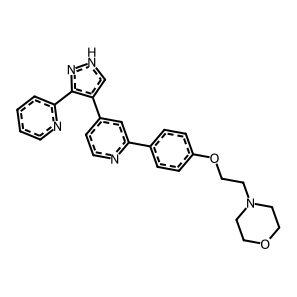 c1ccc(-c2n[nH]cc2-c2ccnc(-c3ccc(OCCN4CCOCC4)cc3)c2)nc1